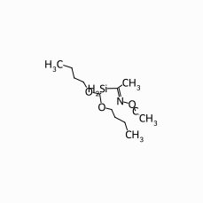 CCCCOC(OCCCC)[SiH2]C(C)=NOCC